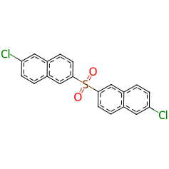 O=S(=O)(c1ccc2cc(Cl)ccc2c1)c1ccc2cc(Cl)ccc2c1